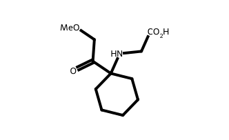 COCC(=O)C1(NCC(=O)O)CCCCC1